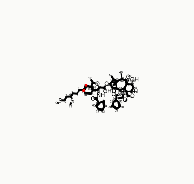 CSCCC(CCCCCCC(C)O[C@@H](C(=O)O[C@H]1C[C@@]2(O)[C@@H](OC(=O)c3ccccc3)[C@@H]3[C@]4(OC(C)=O)CO[C@@H]4C[C@H](O)[C@@]3(C)C(=O)[C@H](C)C(=C1C)C2(C)C)[C@@H](NC(=O)c1ccccc1)c1ccccc1)SC